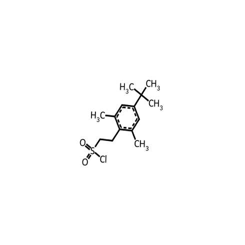 Cc1cc(C(C)(C)C)cc(C)c1CCS(=O)(=O)Cl